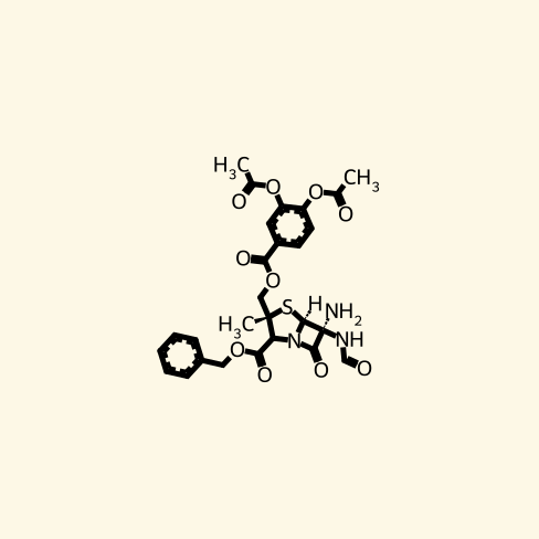 CC(=O)Oc1ccc(C(=O)OC[C@]2(C)S[C@@H]3N(C(=O)[C@]3(N)NC=O)C2C(=O)OCc2ccccc2)cc1OC(C)=O